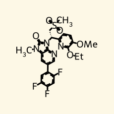 CCOc1nc([C@@H](CS(C)(=O)=O)n2c(=O)n(C)c3cc(-c4cc(F)c(F)cc4F)cnc32)ccc1OC